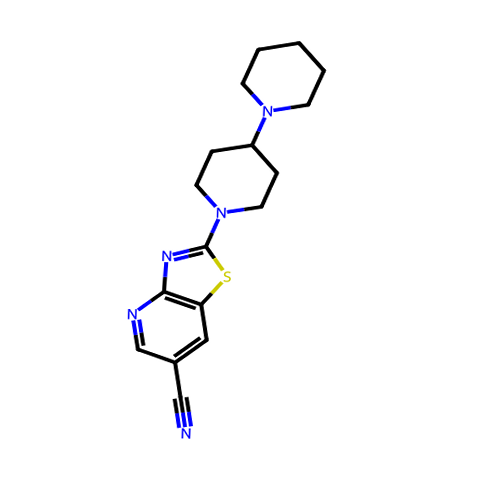 N#Cc1cnc2nc(N3CCC(N4CCCCC4)CC3)sc2c1